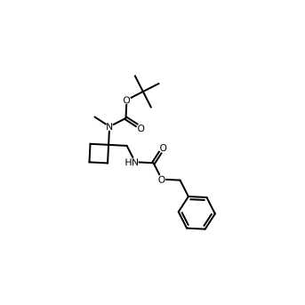 CN(C(=O)OC(C)(C)C)C1(CNC(=O)OCc2ccccc2)CCC1